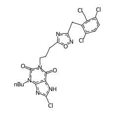 CCCCn1c(=O)n(CCCc2nc(Cc3c(Cl)ccc(Cl)c3Cl)no2)c(=O)c2[nH]c(Cl)nc21